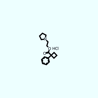 Cl.O=C(OCCN1CCCC1)C1(c2ccccc2)CCC1